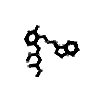 COC(=O)CN(Cc1cccc(C)c1CO/N=C1\CCc2ccccc21)OC